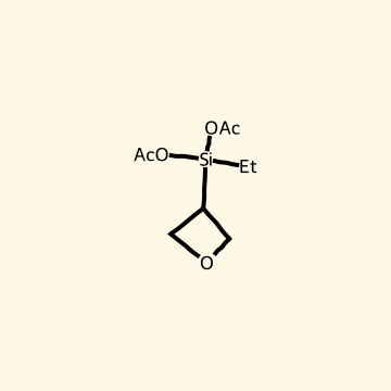 CC[Si](OC(C)=O)(OC(C)=O)C1COC1